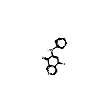 O=C1C=C(Nc2ccccc2)C(=O)c2cnccc21